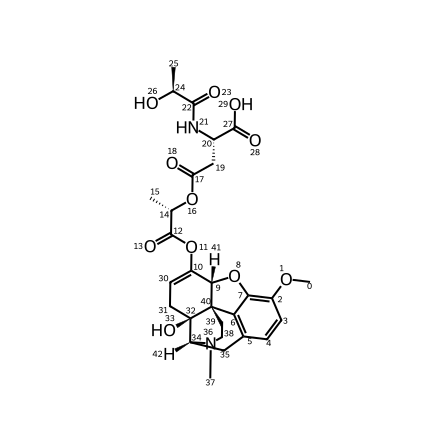 COc1ccc2c3c1O[C@H]1C(OC(=O)[C@H](C)OC(=O)C[C@H](NC(=O)[C@H](C)O)C(=O)O)=CC[C@@]4(O)[C@@H](C2)N(C)CC[C@]314